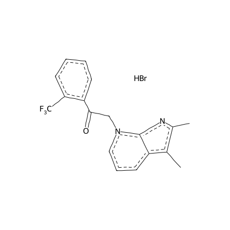 Br.Cc1nc2n(CC(=O)c3ccccc3C(F)(F)F)cccc-2c1C